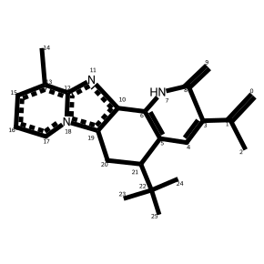 C=C(C)C1=CC2=C(NC1=C)c1nc3c(C)cccn3c1CC2C(C)(C)C